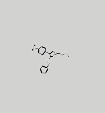 CN(C)CCn1cc(-c2ccc([N+](=O)[O-])cc2)c(OCc2ccccc2)n1